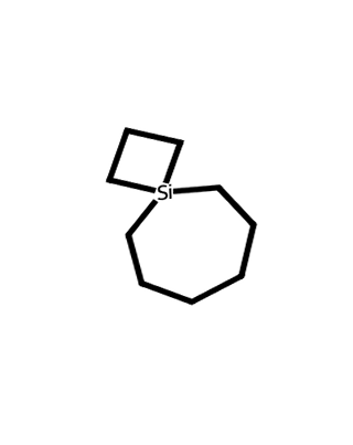 C1CCC[Si]2(CC1)CCC2